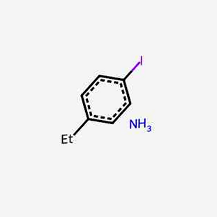 CCc1ccc(I)cc1.N